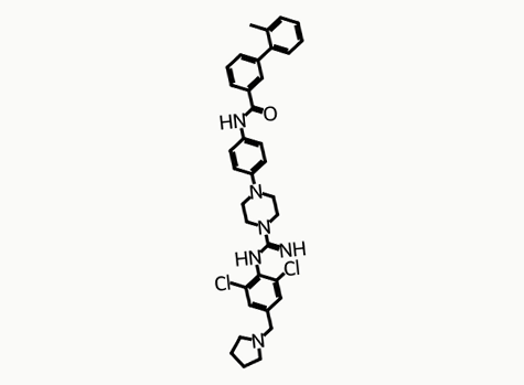 Cc1ccccc1-c1cccc(C(=O)Nc2ccc(N3CCN(C(=N)Nc4c(Cl)cc(CN5CCCC5)cc4Cl)CC3)cc2)c1